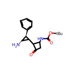 CC(C)(C)OC(=O)NC1CC(=O)C1C1[C@H](N)[C@H]1c1ccccc1